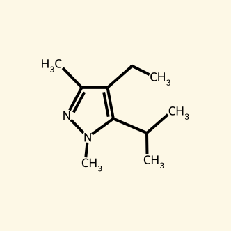 CCc1c(C)nn(C)c1C(C)C